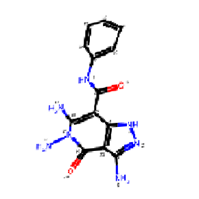 Nc1n[nH]c2c(C(=O)Nc3ccccc3)c(N)n(N)c(=O)c12